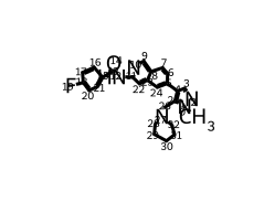 Cn1ncc(-c2ccc3cnc(NC(=O)c4ccc(F)cc4)cc3c2)c1CN1CCCCC1